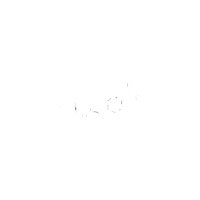 FC(F)c1ccc([C]=NOC2=CCCCC2)cc1